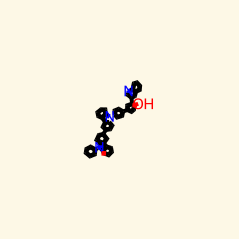 Oc1ccc(-c2ccc(-n3c4ccccc4c4cc(-c5ccc6c(c5)c5ccccc5n6-c5ccccc5)ccc43)cc2)cc1-c1cnc2ccccc2c1